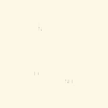 CCC(CN)=C1CNC1